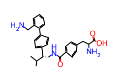 CC(C)[C@@H](CNC(=O)c1ccc(CC(N)C(=O)O)cc1)c1ccc(-c2ccccc2CN)cc1